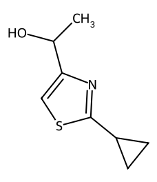 CC(O)c1csc(C2CC2)n1